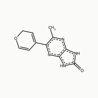 Cc1nc2[nH]c(=O)[nH]c2nc1C1=CCOC=C1